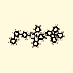 c1ccc(-c2nc(-c3ccc(-c4cccc5c4oc4ccccc45)cc3)nc(-c3ccccc3-c3ccc4c(c3)Oc3c(ccc5c3-c3ccccc3C5(c3ccccc3)c3ccccc3)O4)n2)cc1